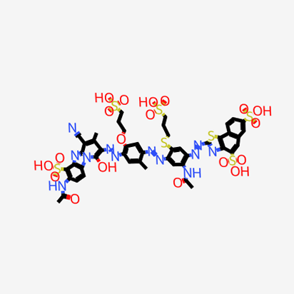 CC(=O)Nc1cc(N=Nc2cc(OCCCS(=O)(=O)O)c(N=Nc3c(C)c(C#N)c4nc5c(S(=O)(=O)O)c(NC(C)=O)ccc5n4c3O)cc2C)c(SCCCS(=O)(=O)O)cc1N=Nc1nc2c(S(=O)(=O)O)cc3cc(S(=O)(=O)O)ccc3c2s1